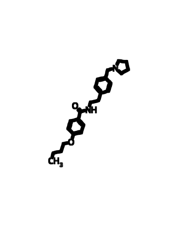 CCCCOc1ccc(C(=O)NCCc2ccc(CN3CCCC3)cc2)cc1